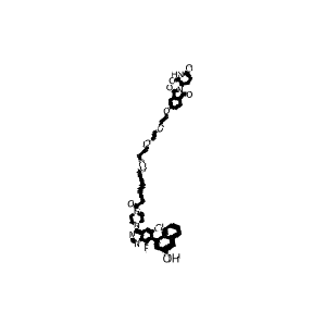 O=C1CCC(N2C(=O)c3ccc(OCCOCCOCCOCCCCC(=O)N4CCN(c5ncnc6c(F)c(-c7cc(O)cc8ccccc78)c(Cl)cc56)CC4)cc3C2=O)C(=O)N1